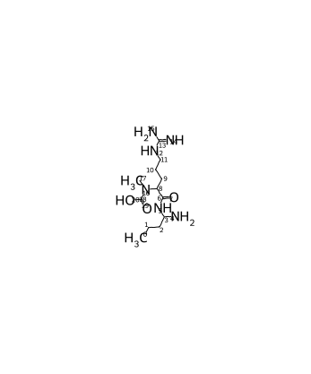 CCCC(N)NC(=O)C(CCCNC(=N)N)N(C)C(=O)O